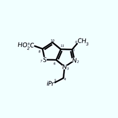 Cc1nn(CC(C)C)c2sc(C(=O)O)cc12